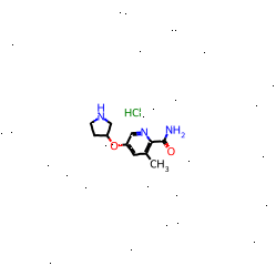 Cc1cc(OC2CCNC2)cnc1C(N)=O.Cl